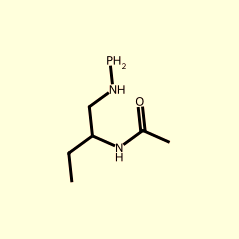 CCC(CNP)NC(C)=O